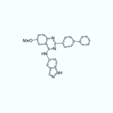 COc1ccc2nc(-c3ccc(-c4ccccc4)cc3)nc(Nc3ccc4[nH]ncc4c3)c2c1